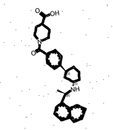 C[C@@H](N[C@H]1CCC[C@H](c2ccc(C(=O)N3CCC(C(=O)O)CC3)cc2)C1)c1cccc2ccccc12